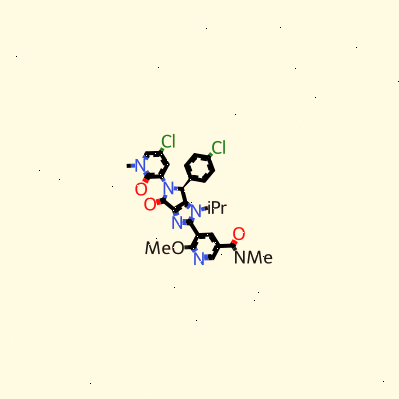 CNC(=O)c1cnc(OC)c(-c2nc3c(n2C(C)C)[C@H](c2ccc(Cl)cc2)N(c2cc(Cl)cn(C)c2=O)C3=O)c1